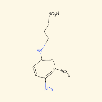 Nc1ccc(NCCCS(=O)(=O)O)cc1[N+](=O)[O-]